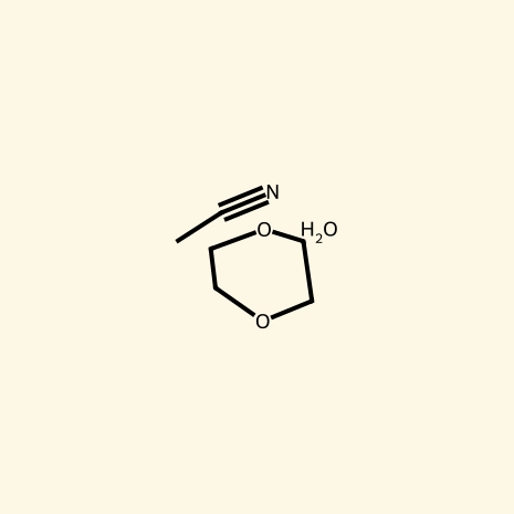 C1COCCO1.CC#N.O